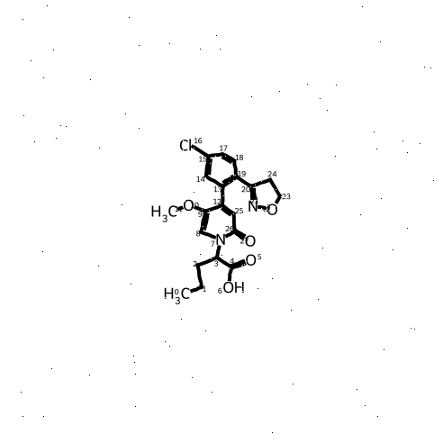 CCCC(C(=O)O)n1cc(OC)c(-c2cc(Cl)ccc2C2=NOCC2)cc1=O